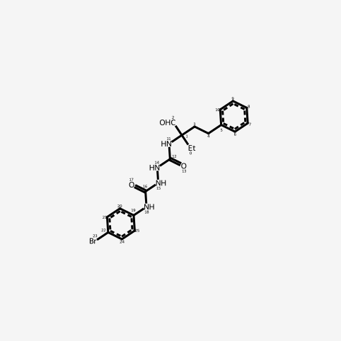 CCC(C=O)(CCc1ccccc1)NC(=O)NNC(=O)Nc1ccc(Br)cc1